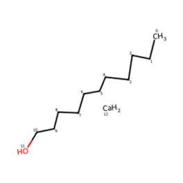 CCCCCCCCCCCO.[CaH2]